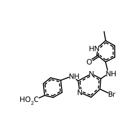 Cc1ccc(Nc2nc(Nc3ccc(C(=O)O)cc3)ncc2Br)c(=O)[nH]1